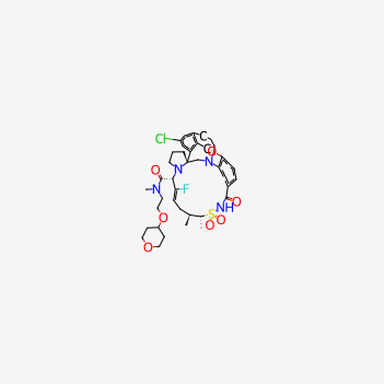 C[C@@H]1[C@@H](C)C/C=C(\F)[C@H](C(=O)N(C)CCOC2CCOCC2)N2CCC[C@@]23CN2CCCCc4cc(Cl)cc3c4COc3ccc(cc32)C(=O)NS1(=O)=O